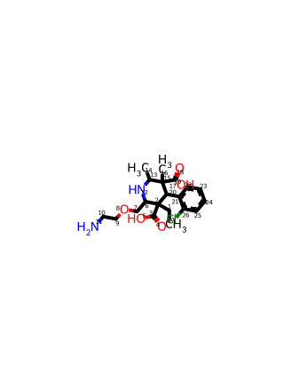 CCC1(C(=O)O)C(COCCN)NC(C)C(C)(C(=O)O)C1c1ccccc1Cl